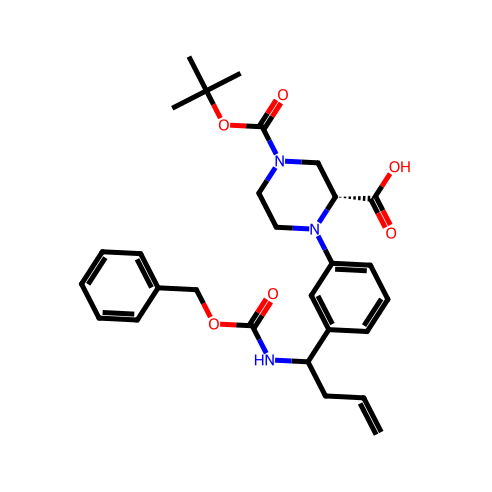 C=CCC(NC(=O)OCc1ccccc1)c1cccc(N2CCN(C(=O)OC(C)(C)C)C[C@@H]2C(=O)O)c1